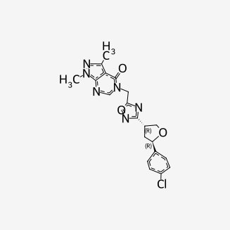 Cc1nn(C)c2ncn(Cc3nc([C@@H]4CO[C@@H](c5ccc(Cl)cc5)C4)no3)c(=O)c12